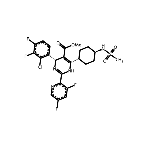 COC(=O)C1=C([C@H]2CC[C@H](NS(C)(=O)=O)CC2)NC(c2ncc(F)cc2F)=N[C@@H]1c1ccc(F)c(F)c1Cl